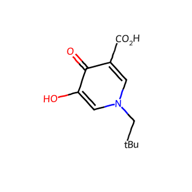 CC(C)(C)Cn1cc(O)c(=O)c(C(=O)O)c1